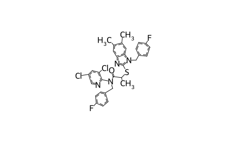 Cc1cc2nc(SC(C)C(=O)N(Cc3ccc(F)cc3)c3ncc(Cl)cc3Cl)n(Cc3ccc(F)cc3)c2cc1C